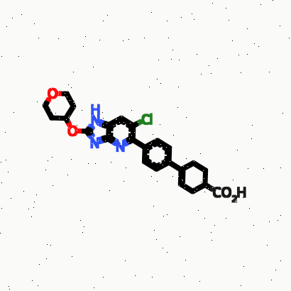 O=C(O)C1CC=C(c2ccc(-c3nc4nc(OC5CCOCC5)[nH]c4cc3Cl)cc2)CC1